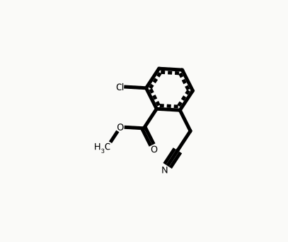 COC(=O)c1c(Cl)cccc1CC#N